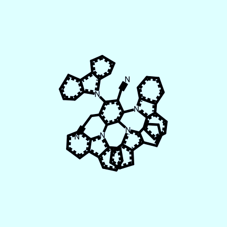 N#CCc1c(-n2c3ccccc3c3ccccc32)c(C#N)c(-n2c3ccccc3c3ccccc32)c(-n2c3c(c4ccccc42)C=CCC3)c1-n1c2ccccc2c2ccccc21